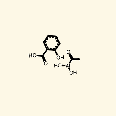 C[C](=O)[Al]([OH])[OH].O=C(O)c1ccccc1O